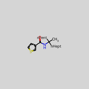 CCCCCCCC(C)(CCCCC)NC(=O)c1ccsc1